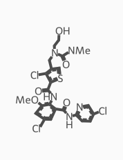 CNC(=O)N(CCO)Cc1csc(C(=O)Nc2c(OC)cc(Cl)cc2C(=O)Nc2ccc(Cl)cn2)c1Cl